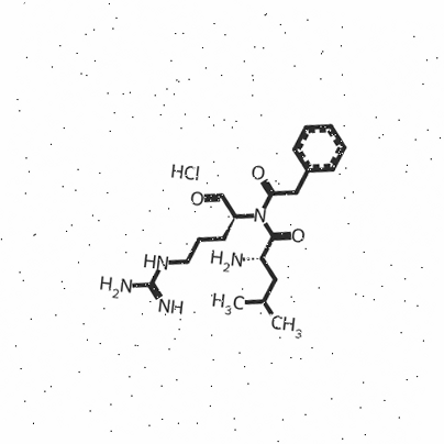 CC(C)C[C@H](N)C(=O)N(C(=O)Cc1ccccc1)[C@H](C=O)CCCNC(=N)N.Cl